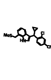 CSCc1cccc2c(C(c3ccc(C(F)(F)F)cc3Cl)C3CC3)c[nH]c12